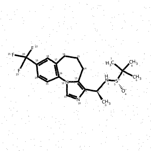 C[C@H](N[S@@+]([O-])C(C)(C)C)c1ncn2c1CCCc1cc(C(F)(F)F)ccc1-2